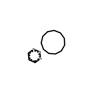 C1CCCCCCCCCC1.c1cnnnc1